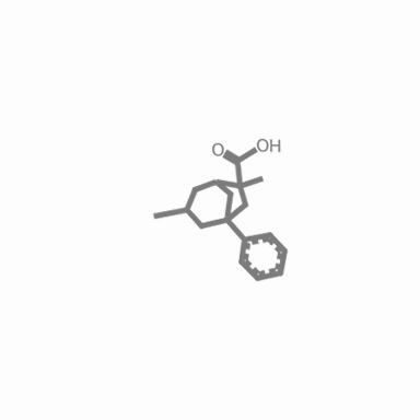 CC1CC2CC(c3ccccc3)(C1)CC2(C)C(=O)O